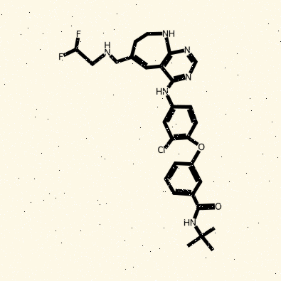 CC(C)(C)NC(=O)c1cccc(Oc2ccc(Nc3ncnc4c3C=C(CNCC(F)F)CCN4)cc2Cl)c1